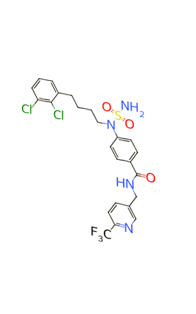 NS(=O)(=O)N(CCCCc1cccc(Cl)c1Cl)c1ccc(C(=O)NCc2ccc(C(F)(F)F)nc2)cc1